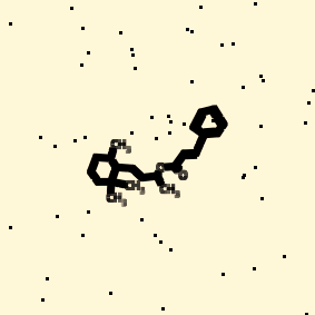 CC(CCC1C(C)CCCC1(C)C)OC(=O)C=Cc1ccccc1